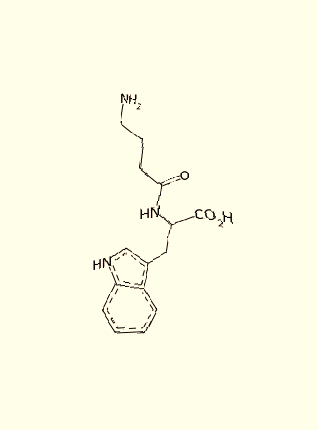 NCCCC(=O)NC(Cc1c[nH]c2ccccc12)C(=O)O